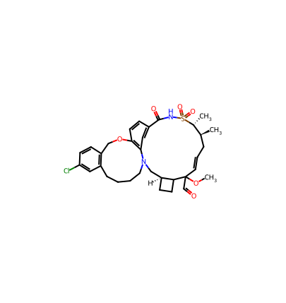 COC1(C=O)/C=C/C[C@H](C)[C@@H](C)S(=O)(=O)NC(=O)c2ccc3c(c2)N(CCCCc2cc(Cl)ccc2CO3)C[C@@H]2CCC21